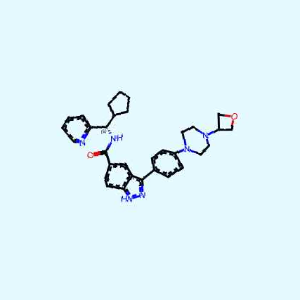 O=C(N[C@H](c1ccccn1)C1CCCC1)c1ccc2[nH]nc(-c3ccc(N4CCN(C5COC5)CC4)cc3)c2c1